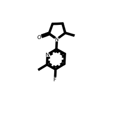 Cc1nc(N2C(=O)CCC2C)ccc1F